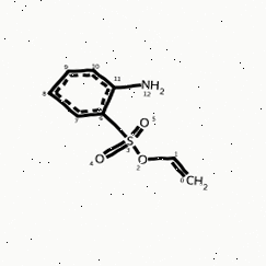 C=COS(=O)(=O)c1ccccc1N